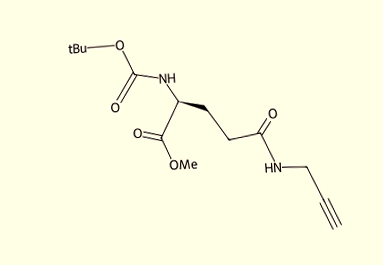 C#CCNC(=O)CC[C@H](NC(=O)OC(C)(C)C)C(=O)OC